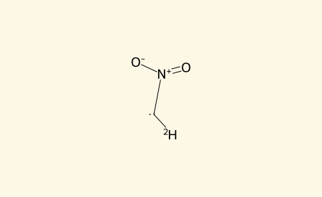 [2H][CH][N+](=O)[O-]